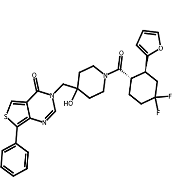 O=C([C@H]1CCC(F)(F)C[C@@H]1c1ccco1)N1CCC(O)(Cn2cnc3c(-c4ccccc4)scc3c2=O)CC1